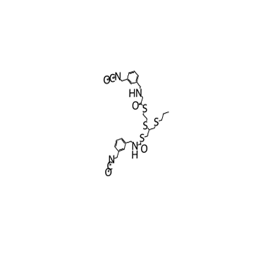 CCCSCC(CSC(=O)NCc1cccc(CN=C=O)c1)SCCSC(=O)CNCc1cccc(CN=C=O)c1